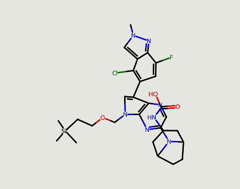 Cn1cc2c(Cl)c(-c3cn(COCC[Si](C)(C)C)c4nc(N5C6CCC5CC(NC(=O)O)C6)cnc34)cc(F)c2n1